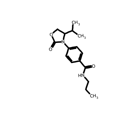 CCCNC(=O)c1ccc(N2C(=O)OCC2C(C)C)cc1